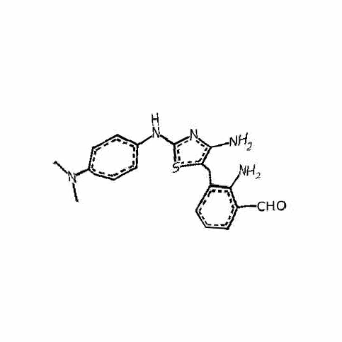 CN(C)c1ccc(Nc2nc(N)c(-c3cccc(C=O)c3N)s2)cc1